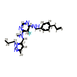 C=CCc1ccc(CNc2ncnc(N(C)Cc3cc(C)nn3CCC)c2F)cc1